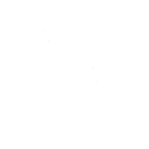 COc1ccc(N2CCN(CCC3OCCc4cc(-c5ncno5)ccc43)CC2)cc1